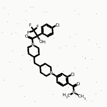 CN(C)C(=O)c1ccc(N2CCC(CC3CCN(C(=O)C(O)(c4ccc(Cl)cc4)C(F)(F)F)CC3)CC2)cc1Cl